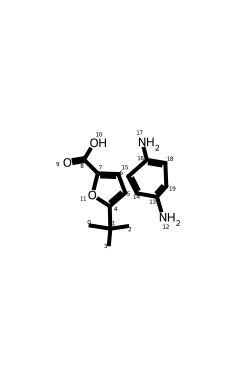 CC(C)(C)c1ccc(C(=O)O)o1.Nc1ccc(N)cc1